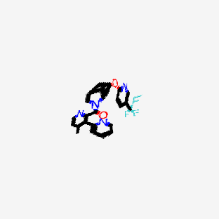 Cc1ccnc(C(=O)N2CC3CC(Oc4ccc(C(F)(F)F)cn4)C2C3)c1-c1ccccn1